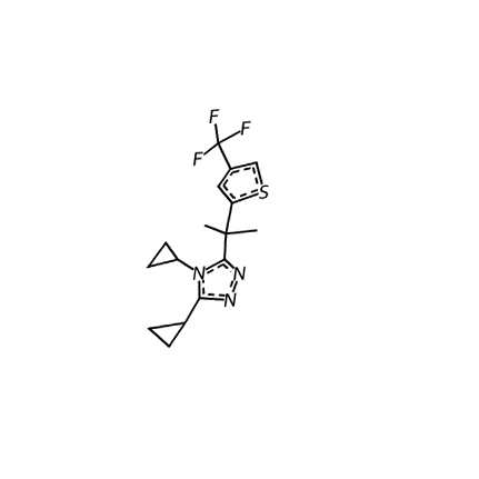 CC(C)(c1cc(C(F)(F)F)cs1)c1nnc(C2CC2)n1C1CC1